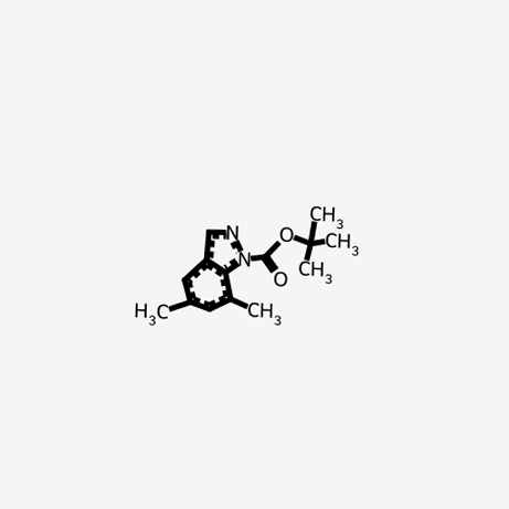 Cc1cc(C)c2c(cnn2C(=O)OC(C)(C)C)c1